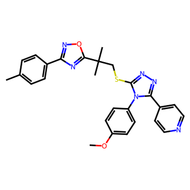 COc1ccc(-n2c(SCC(C)(C)c3nc(-c4ccc(C)cc4)no3)nnc2-c2ccncc2)cc1